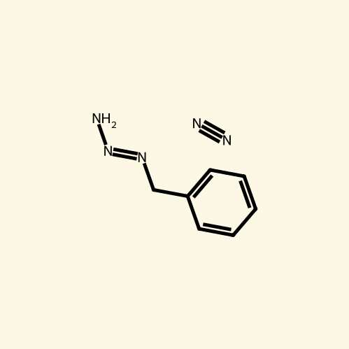 N#N.NN=NCc1ccccc1